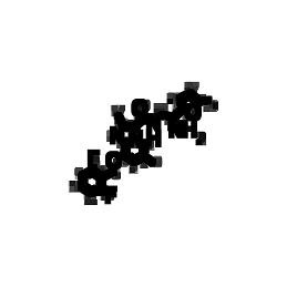 Cc1cc(OCc2c(F)cccc2F)c2nc(C)c(C(=O)NCC(N)c3ccc(C)o3)n2c1